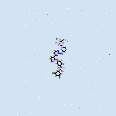 CC(C)(C)OC(=O)N1CCC[C@H](Nc2nccc(-c3cccnc3Oc3ccc(NS(=O)(=O)c4cc(F)cc(F)c4)c(F)c3F)n2)C1